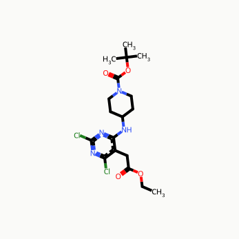 CCOC(=O)Cc1c(Cl)nc(Cl)nc1NC1CCN(C(=O)OC(C)(C)C)CC1